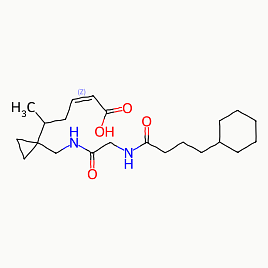 CC(C/C=C\C(=O)O)C1(CNC(=O)CNC(=O)CCCC2CCCCC2)CC1